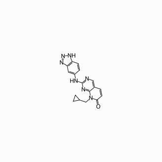 O=c1ccc2cnc(Nc3ccc4[nH]nnc4c3)nc2n1CC1CC1